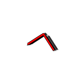 [O-2].[O-2].[O-2].[O-2].[O-2].[O-2].[O-2].[O-2].[O-2].[O-2].[O-2].[O-2].[O-2].[O-2].[O-2].[Zn+2].[Zn+2].[Zn+2].[Zn+2].[Zn+2].[Zn+2].[Zn+2].[Zn+2].[Zn+2].[Zn+2].[Zn+2].[Zn+2].[Zn+2].[Zn+2].[Zn+2].[Zn+2].[Zn+2].[Zn+2].[Zn+2].[Zn+2].[Zn+2].[Zn+2].[Zn+2].[Zn+2].[Zn+2].[Zn+2].[Zn+2].[Zn+2].[Zn+2].[Zn+2].[Zn+2].[Zn+2].[Zn+2].[Zn+2].[Zn+2].[Zn+2].[Zn+2].[Zn+2].[Zn+2].[Zn+2].[Zn+2].[Zn+2].[Zn+2].[Zn+2].[Zn+2].[Zn+2].[Zn+2].[Zn+2].[Zn+2].[Zn+2].[Zn+2].[Zn+2].[Zn+2].[Zn+2].[Zn+2].[Zn+2].[Zn+2].[Zn+2].[Zn+2].[Zn+2].[Zn+2].[Zn+2].[Zn+2].[Zn+2].[Zn+2].[Zn+2].[Zn+2].[Zn+2].[Zn+2].[Zn+2].[Zn+2].[Zn+2].[Zn+2].[Zn+2].[Zn+2].[Zn+2].[Zn+2].[Zn+2].[Zn+2].[Zn+2].[Zn+2].[Zn+2].[Zn+2].[Zn+2].[Zn+2].[Zn+2].[Zn+2].[Zn+2].[Zn+2].[Zn+2].[Zn+2].[Zn+2].[Zn+2].[Zn+2].[Zn+2].[Zn+2].[Zn+2].[Zn+2].[Zn+2].[Zn+2]